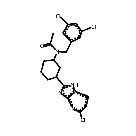 CC(=O)N(Cc1cc(Cl)cc(Cl)c1)C1CCCC(c2nc3nc(Cl)ccc3[nH]2)C1